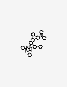 c1ccc(-c2ccc3c(c2)c2c4cc5c6ccc(N(c7ccccc7)c7ccccc7)cc6c6ccccc6c5cc4ccc2n3-c2nc(-c3ccccc3)nc(-c3ccccc3)n2)cc1